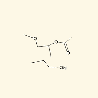 CCCO.COCC(C)OC(C)=O